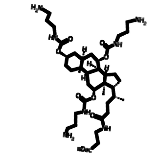 CCCCCCCCCCCCNC(=O)CC[C@@H](C)[C@H]1CC[C@H]2[C@@H]3[C@H](OC(=O)NCCCN)C[C@@H]4C[C@H](OC(=O)NCCCN)CC[C@]4(C)[C@H]3C[C@H](OC(=O)NCCCN)[C@]12C